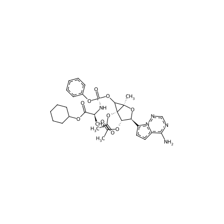 CC(=O)O[C@H]1[C@H](c2ccc3c(N)ncnn23)O[C@]2(C)C(O[P@@](=O)(N[C@@H](C)C(=O)OC3CCCCC3)Oc3ccccc3)[C@]12OC(C)=O